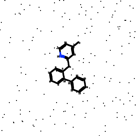 Cc1[c]c(Cc2ccccc2-c2ccccc2)ncc1